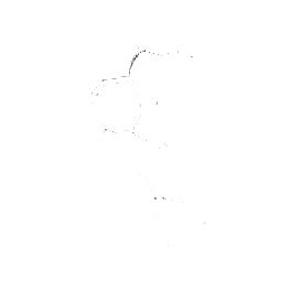 CCC(CC)CSc1cccc(CN)c1